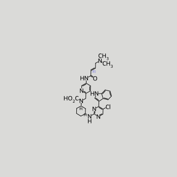 CN(C)C/C=C/C(=O)Nc1ccc(CN(C(=O)O)[C@@H]2CCC[C@@H](Nc3ncc(Cl)c(-c4c[nH]c5ccccc45)n3)C2)nc1